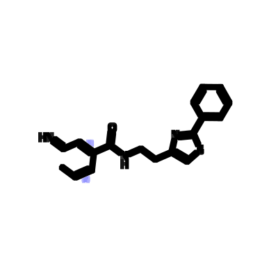 C/C=C\C(=C/C=N)C(=O)NCCc1csc(-c2ccccc2)n1